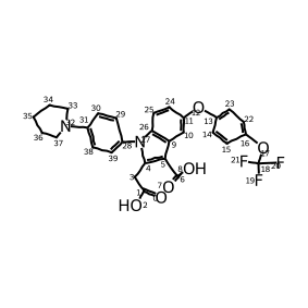 O=C(O)Cc1c(C(=O)O)c2cc(Oc3ccc(OC(F)(F)F)cc3)ccc2n1-c1ccc(N2CCCCC2)cc1